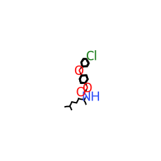 CC(C)CCCC(C)NC(=O)Oc1ccc(Oc2ccc(Cl)cc2)cc1